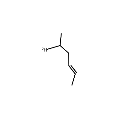 [2H]C(C)CC=CC